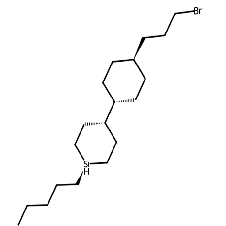 CCCCC[Si@H]1CC[C@H]([C@H]2CC[C@H](CCCBr)CC2)CC1